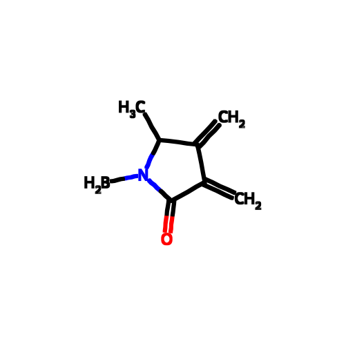 BN1C(=O)C(=C)C(=C)C1C